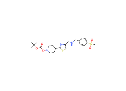 CC(C)(C)OC(=O)ON1CCC(c2nc(CNCc3ccc(S(C)(=O)=O)cc3)cs2)CC1